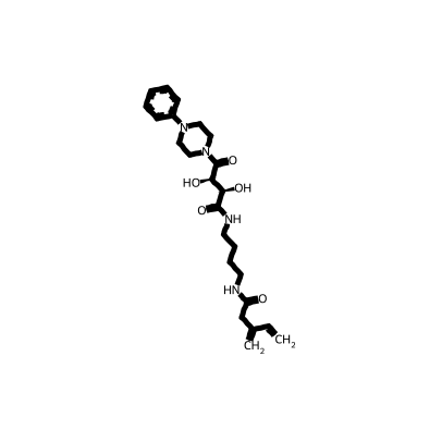 C=CC(=C)CC(=O)NCCCCNC(=O)[C@H](O)[C@@H](O)C(=O)N1CCN(c2ccccc2)CC1